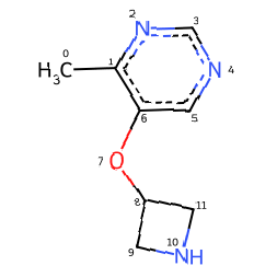 Cc1ncncc1OC1CNC1